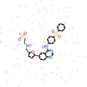 CS(=O)(=O)CCNCc1ccc(-c2ccc3ncnc(Nc4ccc(S(=O)(=O)c5ccccc5)cc4)c3c2)o1